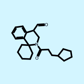 O=CC1CN(C(=O)CCC2CCCC2)C2(CCCCC2)c2ccccc21